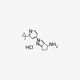 CC1(c2cc(-n3cc4c(n3)CCC4N)ccn2)CC1.Cl